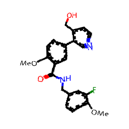 COc1ccc(CNC(=O)c2cc(-c3cnccc3CO)ccc2OC)cc1F